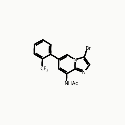 CC(=O)Nc1cc(-c2ccccc2C(F)(F)F)cn2c(Br)cnc12